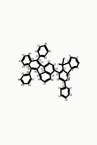 CC1(C)c2ccccc2-c2nc(-c3ccccc3)cc(-c3ccc4c5c(cccc35)-c3c-4c(-c4ccccc4)c4ccccc4c3-c3ccccc3)c21